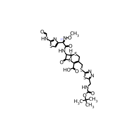 CO/N=C(\C(=O)NC1C(=O)N2C(C(=O)O)=C(CSc3nnc(CNC(=O)OC(C)(C)C)s3)CS[C@H]12)c1csc(NC=O)n1